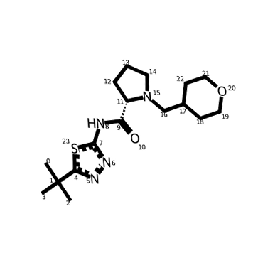 CC(C)(C)c1nnc(NC(=O)[C@@H]2CCCN2CC2CCOCC2)s1